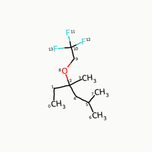 CCC(C)(CC(C)C)OCC(F)(F)F